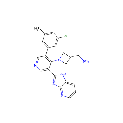 Cc1cc(F)cc(-c2cncc(-c3nc4ncccc4[nH]3)c2N2CC(CN)C2)c1